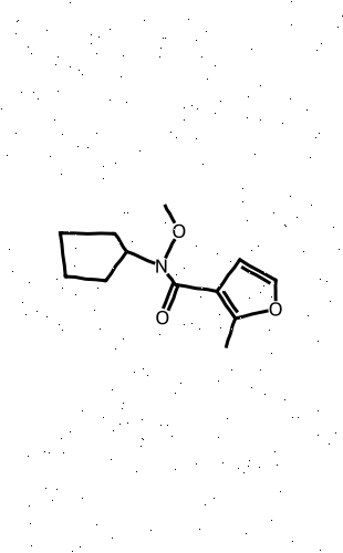 CON(C(=O)c1ccoc1C)C1CCCC1